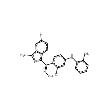 Cc1ccccc1Nc1ccc(/C(=N\O)c2sc(C)c3cc(Cl)ccc23)c(Cl)c1